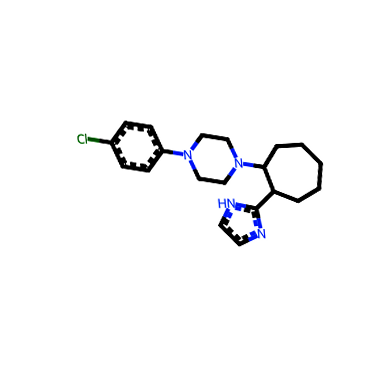 Clc1ccc(N2CCN(C3CCCCCC3c3ncc[nH]3)CC2)cc1